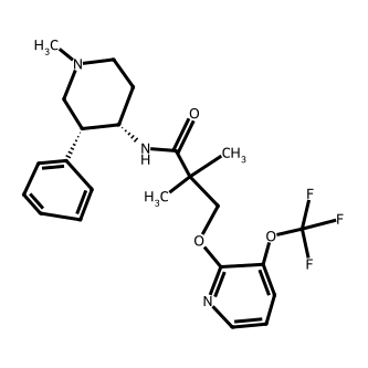 CN1CC[C@H](NC(=O)C(C)(C)COc2ncccc2OC(F)(F)F)[C@H](c2ccccc2)C1